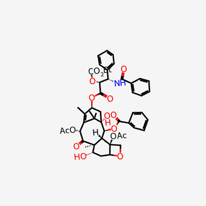 CCOC(=O)O[C@@H](C(=O)O[C@H]1C[C@@]2(O)[C@@H](OC(=O)c3ccccc3)[C@H]3[C@](C)(C(=O)[C@H](OC(C)=O)C(=C1C)C2(C)C)[C@@H](O)CC1OC[C@]13OC(C)=O)[C@@H](NC(=O)c1ccccc1)c1ccccc1